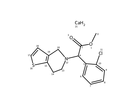 COC(=O)C(c1ccccc1Cl)N1CCc2sccc2C1.[CaH2]